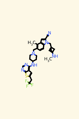 CNC12CC(Cn3c(C#N)cc4c(C)c(CN5CCC(Nc6ncnc7sc(CC(F)(F)F)cc67)CC5)ccc43)(C1)C2